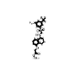 CC(C)(C)OC(=O)COc1cccc2c1CCC[C@H]2NCS(=O)(=O)c1cc(C(C)(F)F)cc(C(F)(F)F)c1